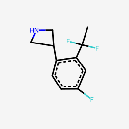 CC(F)(F)c1cc(F)ccc1C1CNC1